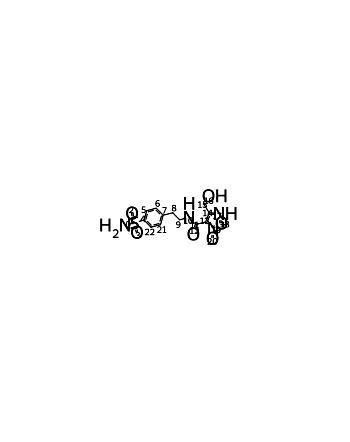 NS(=O)(=O)c1ccc(CCNC(=O)c2c(CO)[nH]o[n+]2=O)cc1